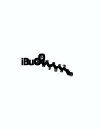 C#CCCCCCCCCC(=O)OCC(C)C